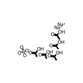 CC(=O)O.CC(=O)O.CC(=O)O.CC(=O)O.CC(=O)O.O=S(=O)([O-])[O-].[Na+].[Na+]